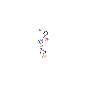 CC1CC(COc2ccc(S(C)(=O)=O)nc2)CN1CC(O)c1cccc(C#N)c1